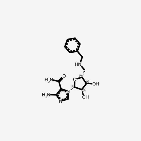 NC(=O)c1c(N)ncn1[C@@H]1O[C@H](CNCc2ccccc2)[C@@H](O)[C@H]1O